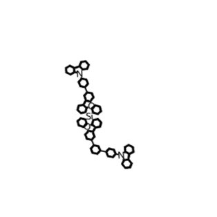 c1ccc([Si](c2ccccc2)(c2cccc3c2oc2ccc(-c4ccc(-n5c6ccccc6c6ccccc65)cc4)cc23)c2cccc3c2oc2ccc(-c4cccc(-c5ccc(-n6c7ccccc7c7ccccc76)cc5)c4)cc23)cc1